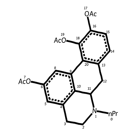 CCCN1CCc2cc(OC(C)=O)cc3c2C1Cc1ccc(OC(C)=O)c(OC(C)=O)c1-3